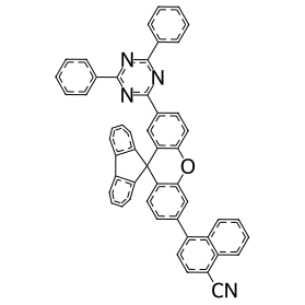 N#Cc1ccc(-c2ccc3c(c2)Oc2ccc(-c4nc(-c5ccccc5)nc(-c5ccccc5)n4)cc2C32c3ccccc3-c3ccccc32)c2ccccc12